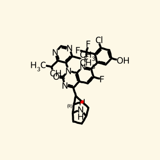 CC(C)c1ncnc(C(C)C)c1-n1c(=O)nc(C2C3CC4CCC(N4)[C@H]32)c2cc(F)c(-c3cc(O)cc(Cl)c3C(F)(F)F)nc21